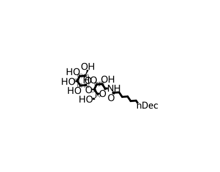 CCCCCCCCCCCCCCCC(=O)NC1O[C@H](CO)[C@@H](O[C@@H]2O[C@H](CO)[C@@H](O)[C@H](O)[C@@H]2O)[C@H](O)[C@@H]1O